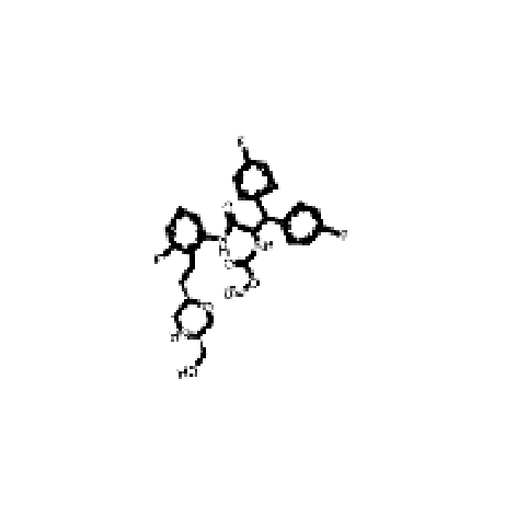 CC(C)(C)OC(=O)NC(C(=O)Nc1cccc(F)c1CC[C@@H]1CN[C@H](CO)CO1)C(c1ccc(F)cc1)c1ccc(F)cc1